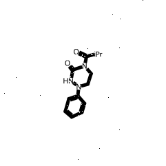 CC(C)C(=O)N1CCN(c2ccccc2)NC1=O